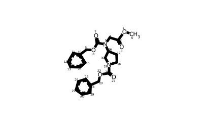 COC(=O)CN(C(=O)OCc1ccccc1)C1CCN(C(=O)OCc2ccccc2)C1